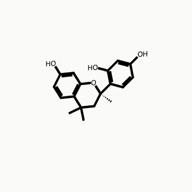 CC1(C)C[C@](C)(c2ccc(O)cc2O)Oc2cc(O)ccc21